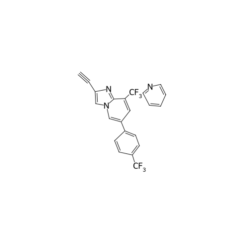 C#Cc1cn2cc(-c3ccc(C(F)(F)F)cc3)cc(C(F)(F)F)c2n1.c1ccncc1